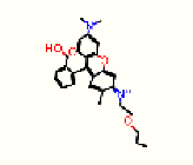 CCCOCC/[N+](C)=c1/cc2oc3cc(N(C)C)ccc3c(-c3ccccc3C(=O)O)c-2cc1C